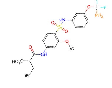 CCOc1cc(NC(=O)C(CC(C)C)C(=O)O)ccc1S(=O)(=O)Nc1cccc(OC(F)(F)P)c1